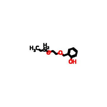 CC[SiH2]OCCOCc1ccccc1O